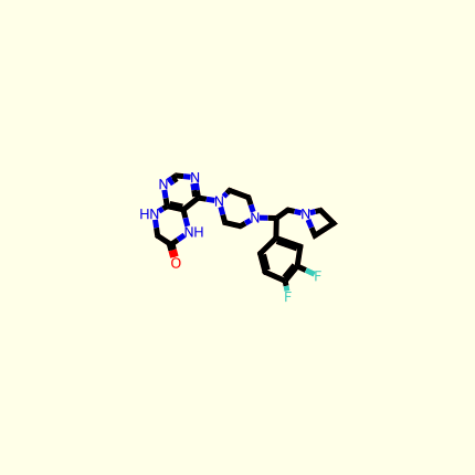 O=C1CNc2ncnc(N3CCN(C(CN4CCC4)c4ccc(F)c(F)c4)CC3)c2N1